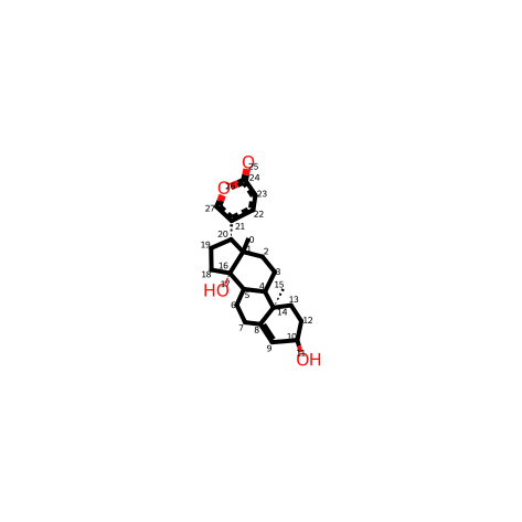 CC12CCC3C(CCC4=CC(O)CC[C@@]43C)[C@@]1(O)CC[C@@H]2c1ccc(=O)oc1